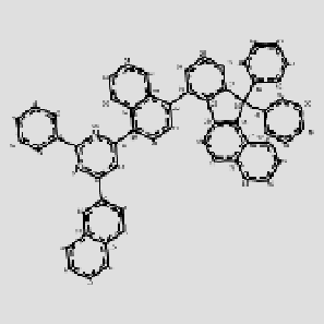 c1ccc(-c2nc(-c3ccc4ccccc4c3)cc(-c3ccc(-c4cccc5c4-c4ccc6ccccc6c4C5(c4ccccc4)c4ccccc4)c4ccccc34)n2)cc1